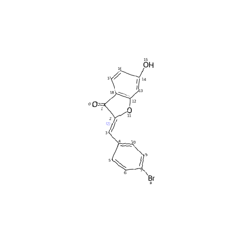 O=C1/C(=C/c2ccc(Br)cc2)Oc2cc(O)ccc21